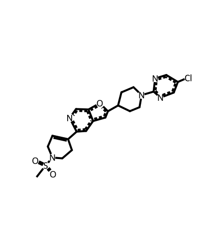 CS(=O)(=O)N1CC=C(c2cc3cc(C4CCN(c5ncc(Cl)cn5)CC4)oc3cn2)CC1